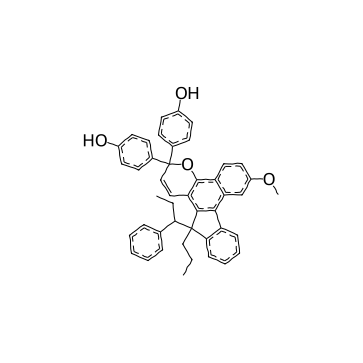 CCCC1(C(CC)c2ccccc2)c2ccccc2-c2c1c1c(c3ccc(OC)cc23)OC(c2ccc(O)cc2)(c2ccc(O)cc2)C=C1